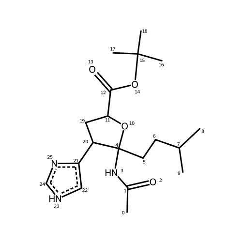 CC(=O)NC1(CCC(C)C)OC(C(=O)OC(C)(C)C)CC1c1c[nH]cn1